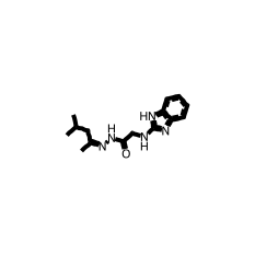 CC(CC(C)C)=NNC(=O)CNc1nc2ccccc2[nH]1